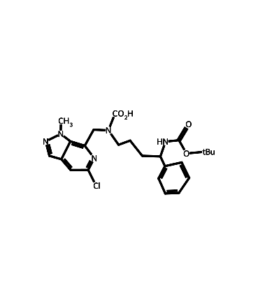 Cn1ncc2cc(Cl)nc(CN(CCCC(NC(=O)OC(C)(C)C)c3ccccc3)C(=O)O)c21